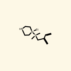 C=CC(=C)C[Si](C)(C)[N+]1(CC)CCNCC1